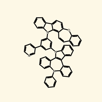 C1=Cc2c(ccc3c4ccccc4n(-c4cc(-c5cccnc5)cc(-n5c6c(c7ccccc75)-c5ccccc5N(c5ccccc5)c5ccccc5-6)c4)c23)Oc2ccccc21